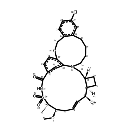 CO[C@@H]1C/C=C/[C@H](O)[C@@H]2CC[C@H]2CN2CCCCc3cc(Cl)ccc3COc3ccc(cc32)C(=O)NS(=O)(=O)[C@H]1C